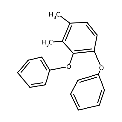 Cc1ccc(Oc2ccccc2)c(Oc2ccccc2)c1C